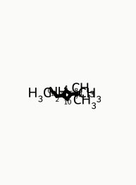 CNCC1CC(C(C)(C)C)C1